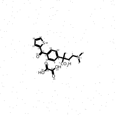 CN(C)CCC(C)(C(=O)O)c1ccc(C(=O)c2cccs2)cc1.O=C(O)C(=O)O